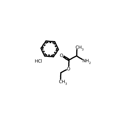 CCOC(=O)C(C)N.Cl.c1ccccc1